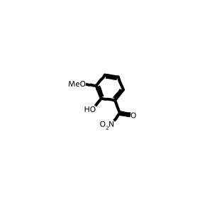 COc1cccc(C(=O)[N+](=O)[O-])c1O